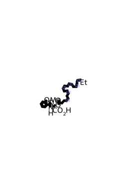 CC/C=C\C/C=C\C/C=C\C/C=C\C/C=C\C/C=C\CCC(=O)OCC(NC(=O)c1ccccc1OC)C(=O)O